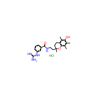 Cc1c(C)c2c(c(C)c1O)CCC(C)(CCNC(=O)c1cccc(NC(=N)N)c1)O2.Cl